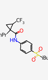 CCCC1(C(=O)Nc2ccc(S(=O)(=O)C(C)CC)cc2)CC1C(F)(F)F